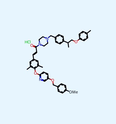 COc1ccc(COc2ccc(Oc3c(C)cc(C=CC(=O)N4CCN(Cc5ccc(C(C)COc6ccc(C)cc6)cc5)CC4)cc3C)nc2)cc1.Cl